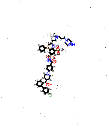 CN(CCCN1CCNCC1)CC[C@H](CSc1ccccc1)Nc1ccc(S(=O)(=O)NC(=O)c2ccc(N3CCC([C@H](O)c4ccccc4-c4ccc(Cl)cc4)CC3)cc2)cc1S(=O)(=O)C(F)(F)F